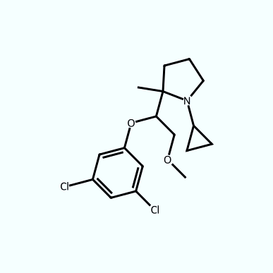 COCC(Oc1cc(Cl)cc(Cl)c1)C1(C)CCCN1C1CC1